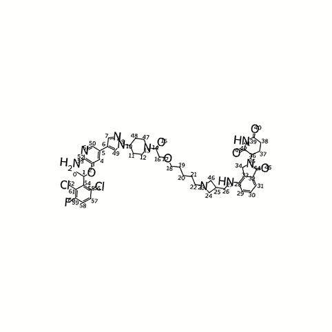 CC(Oc1cc(-c2cnn(C3CCN(C(=O)COCCCCCN4CC(CNc5cccc6c5CN(C5CCC(=O)NC5=O)C6=O)C4)CC3)c2)cnc1N)c1c(Cl)ccc(F)c1Cl